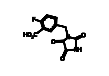 O=C1NC(=O)N(Cc2ccc(F)c(C(=O)O)c2)C1=O